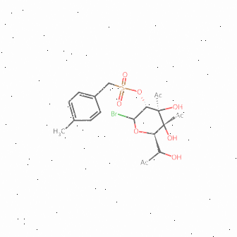 CC(=O)C(O)[C@H]1OC(Br)[C@H](OS(=O)(=O)Cc2ccc(C)cc2)[C@](O)(C(C)=O)[C@@]1(O)C(C)=O